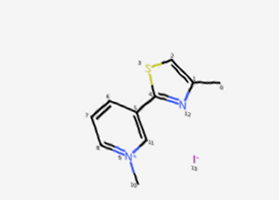 Cc1csc(-c2ccc[n+](C)c2)n1.[I-]